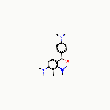 Cc1c(N(C)C)ccc(C(O)c2ccc(N(C)C)cc2)c1N(C)C